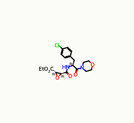 CCOC(=O)[C@H]1O[C@@H]1C(=O)N[C@@H](Cc1ccc(Cl)cc1)C(=O)N1CCOCC1